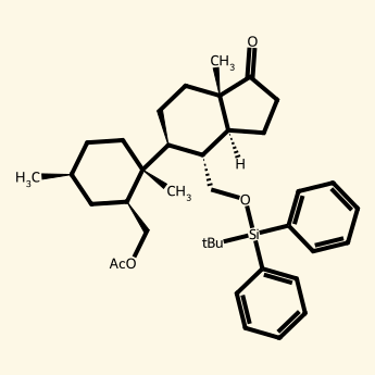 CC(=O)OC[C@H]1C[C@@H](C)CC[C@]1(C)[C@H]1CC[C@]2(C)C(=O)CC[C@H]2[C@@H]1CO[Si](c1ccccc1)(c1ccccc1)C(C)(C)C